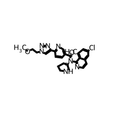 COCCn1cc(-c2ccc(C(=O)N(c3nccc4cc(Cl)cc(C)c34)[C@@H]3CCCNC3)cn2)nn1